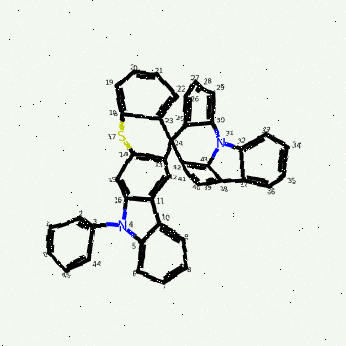 c1ccc(-n2c3ccccc3c3cc4c(cc32)Sc2ccccc2C42c3ccccc3-n3c4ccccc4c4cccc2c43)cc1